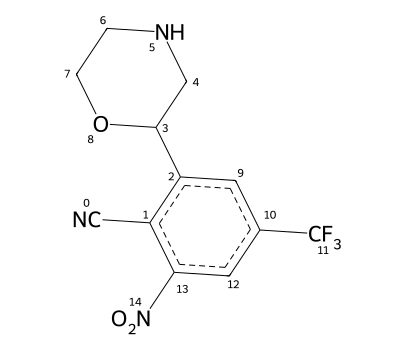 N#Cc1c(C2CNCCO2)cc(C(F)(F)F)cc1[N+](=O)[O-]